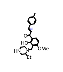 CCC1CNCCN1Cc1c(OC)ccc(C(=O)/C=C/c2ccc(C)cc2)c1O